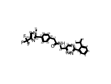 CC(C)c1ccccc1-c1ncc(CNC(=O)Cc2ccc(-c3nc(C(F)(F)F)cn3C)cc2)nn1